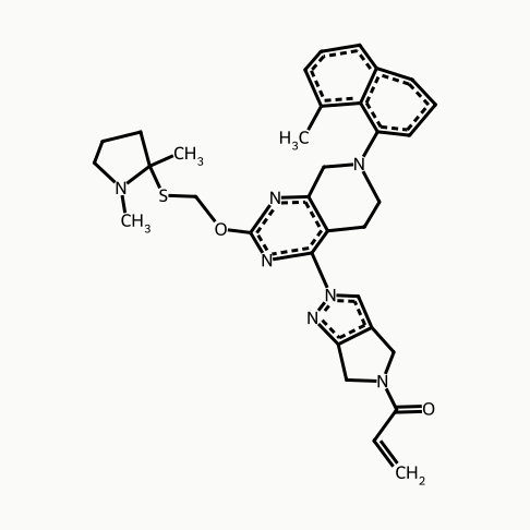 C=CC(=O)N1Cc2cn(-c3nc(OCSC4(C)CCCN4C)nc4c3CCN(c3cccc5cccc(C)c35)C4)nc2C1